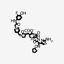 Nc1nc(/C(=N/OC2CCCC2)C(=O)N[C@@H]2C(=O)N3C(C(=O)[O-])=C(/C=C4\CCN(Cc5cc[n+](CC(=O)Nc6ccc(O)c(F)c6)cc5)C4=O)CS[C@H]23)cs1